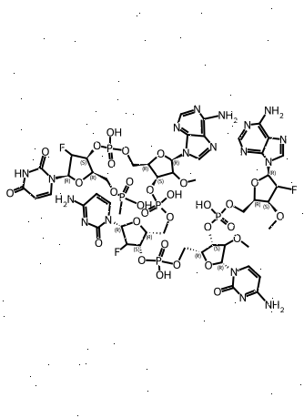 COC1[C@@H](OP(=O)(O)OC[C@H]2O[C@@H](n3cnc4c(N)ncnc43)C(F)[C@H]2OC)[C@@H](COP(=O)(O)O[C@@H]2C(F)[C@H](n3ccc(N)nc3=O)O[C@@H]2COP(=O)(O)O[C@@H]2C(OC)[C@H](n3cnc4c(N)ncnc43)O[C@@H]2COP(=O)(O)O[C@@H]2C(F)[C@H](n3ccc(=O)[nH]c3=O)O[C@@H]2COP(C)(=O)O)O[C@H]1n1ccc(N)nc1=O